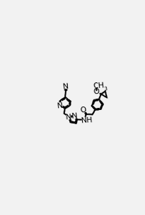 COC1(c2ccc(CC(=O)Nc3ccn(Cc4ccc(C#N)cn4)n3)cc2)CC1